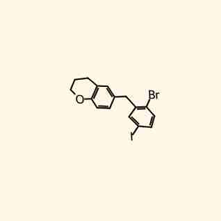 Brc1ccc(I)cc1Cc1ccc2c(c1)CCCO2